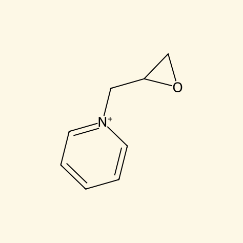 c1cc[n+](CC2CO2)cc1